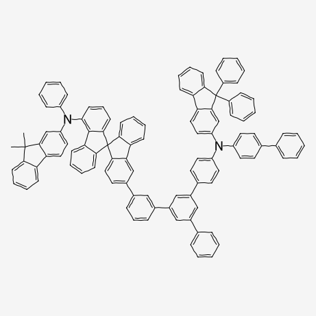 CC1(C)c2ccccc2-c2ccc(N(c3ccccc3)c3cccc4c3-c3ccccc3C43c4ccccc4-c4cc(-c5cccc(-c6cc(-c7ccccc7)cc(-c7ccc(N(c8ccc(-c9ccccc9)cc8)c8ccc9c(c8)C(c8ccccc8)(c8ccccc8)c8ccccc8-9)cc7)c6)c5)ccc43)cc21